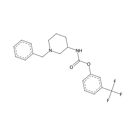 O=C(NC1CCCN(Cc2ccccc2)C1)Oc1cccc(C(F)(F)F)c1